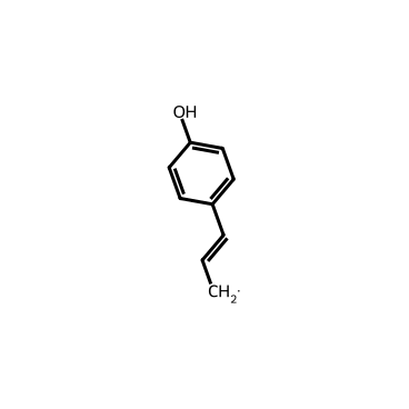 [CH2]C=Cc1ccc(O)cc1